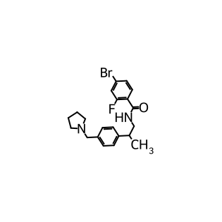 CC(CNC(=O)c1ccc(Br)cc1F)c1ccc(CN2CCCC2)cc1